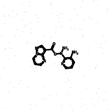 Nc1cccnc1N(N)OC(=O)c1cnn2cccnc12